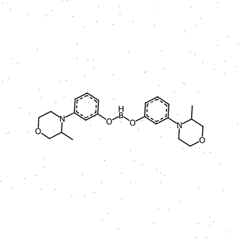 CC1COCCN1c1cccc(OBOc2cccc(N3CCOCC3C)c2)c1